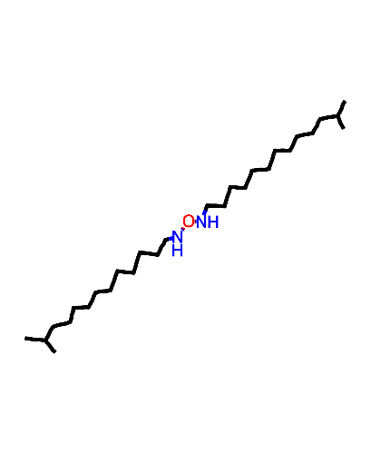 CC(C)CCCCCCCCCCCNONCCCCCCCCCCCC(C)C